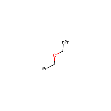 CCC[CH]OCC(C)C